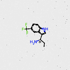 CC[C@@H](N)c1c[nH]c2ccc(C(F)(F)F)cc12